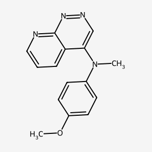 COc1ccc(N(C)c2cnnc3ncccc23)cc1